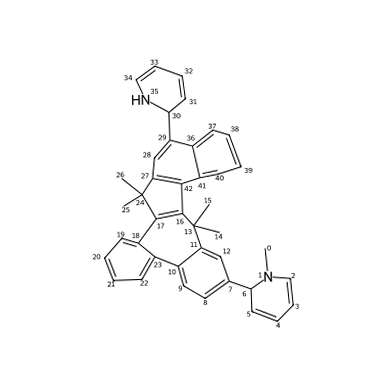 CN1C=CC=CC1c1ccc2c(c1)C(C)(C)C1=C(c3ccccc3-2)C(C)(C)c2cc(C3C=CC=CN3)c3ccccc3c21